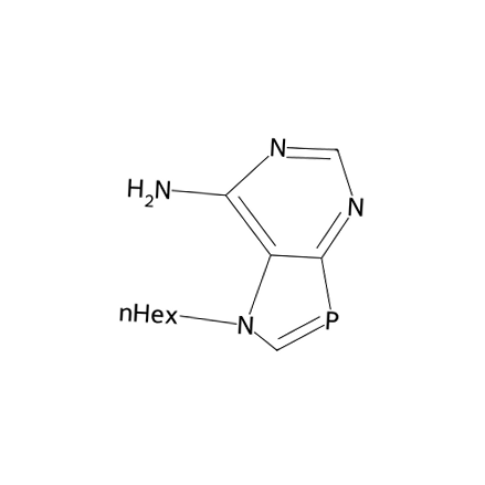 CCCCCCn1cpc2ncnc(N)c21